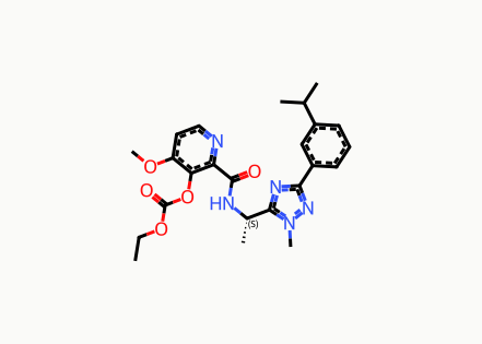 CCOC(=O)Oc1c(OC)ccnc1C(=O)N[C@@H](C)c1nc(-c2cccc(C(C)C)c2)nn1C